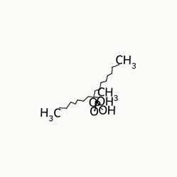 CCCCCCCCCC(CC)(CCCCCCCC)OP(=O)(O)O